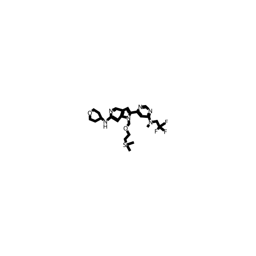 CN(CC(F)(F)F)c1cc(-c2cc3cnc(NC4CCOCC4)cc3n2COCC[Si](C)(C)C)ncn1